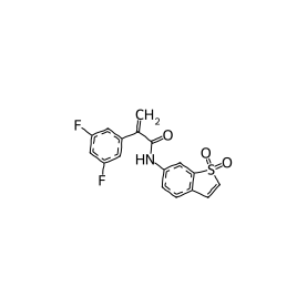 C=C(C(=O)Nc1ccc2c(c1)S(=O)(=O)C=C2)c1cc(F)cc(F)c1